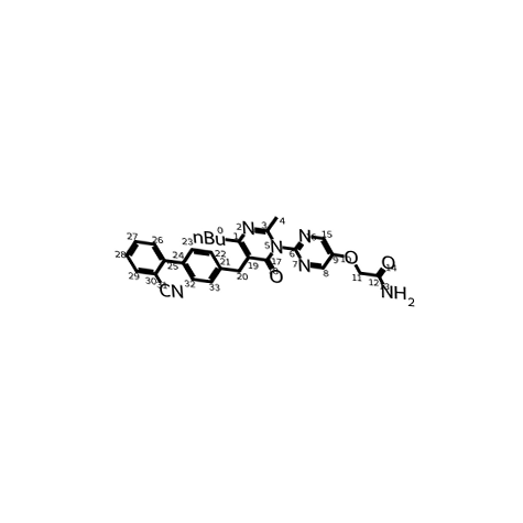 CCCCc1nc(C)n(-c2ncc(OCC(N)=O)cn2)c(=O)c1Cc1ccc(-c2ccccc2C#N)cc1